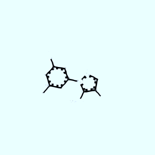 CCOC(=O)c1cnn(-c2cc(Cl)cc(Cl)c2)c1SC